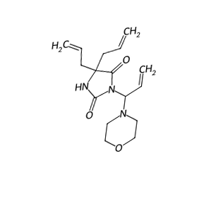 C=CCC1(CC=C)NC(=O)N(C(C=C)N2CCOCC2)C1=O